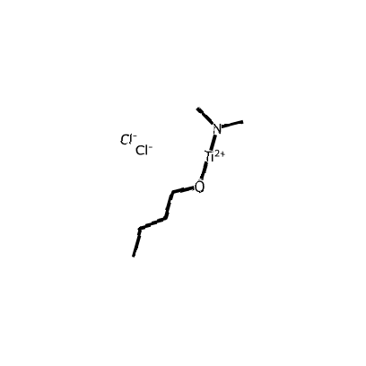 CCCC[O][Ti+2][N](C)C.[Cl-].[Cl-]